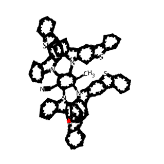 Cc1c(-n2c3cc4sc5ccccc5c4cc3c3cc4c(cc32)sc2ccccc24)c(-n2c3ccccc3c3ccccc32)c(C#N)c(-n2c3ccccc3c3ccccc32)c1-n1c2cc3sc4ccccc4c3cc2c2cc3c(cc21)sc1ccccc13